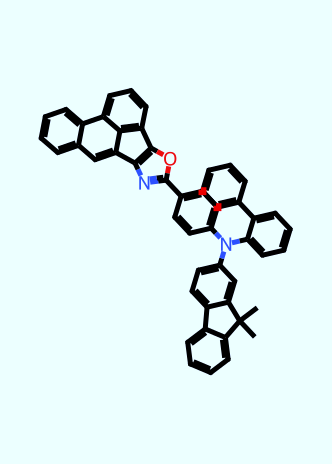 CC1(C)c2ccccc2-c2ccc(N(c3ccc(-c4nc5c(o4)-c4cccc6c4c-5cc4ccccc46)cc3)c3ccccc3-c3ccccc3)cc21